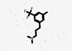 Cc1cc(CCCN(C)C)cc(C(F)(F)F)c1